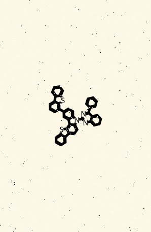 C1=c2nc(-n3c4ccc(-c5cccc6c5sc5ccccc56)cc4c4c5sc6ccccc6c5ccc43)nc(-c3ccccc3)c2=CCC1